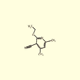 CCOc1nc(C)cc(C)c1C#N